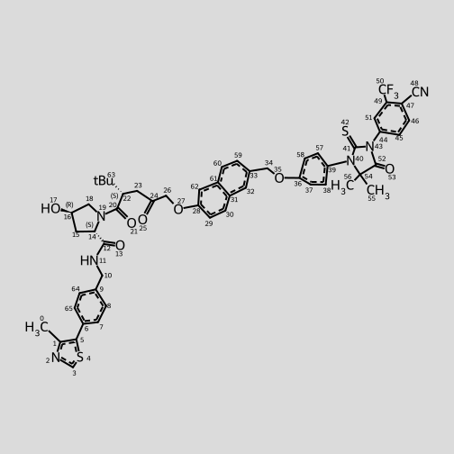 Cc1ncsc1-c1ccc(CNC(=O)[C@@H]2C[C@@H](O)CN2C(=O)[C@@H](CC(=O)COc2ccc3cc(COc4ccc(N5C(=S)N(c6ccc(C#N)c(C(F)(F)F)c6)C(=O)C5(C)C)cc4)ccc3c2)C(C)(C)C)cc1